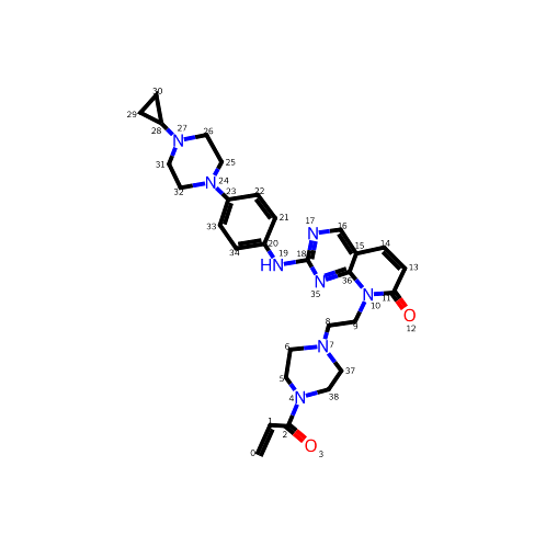 C=CC(=O)N1CCN(CCn2c(=O)ccc3cnc(Nc4ccc(N5CCN(C6CC6)CC5)cc4)nc32)CC1